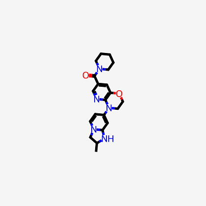 CC1CN2C=CC(N3CCOc4cc(C(=O)N5CCCCC5)cnc43)=CC2N1